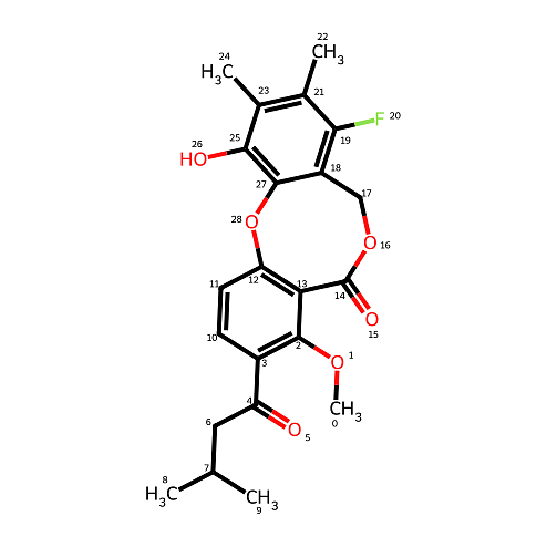 COc1c(C(=O)CC(C)C)ccc2c1C(=O)OCc1c(F)c(C)c(C)c(O)c1O2